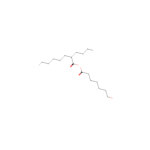 CCCCCCC(CCCC)C(=O)OC(=O)CCCCCCO